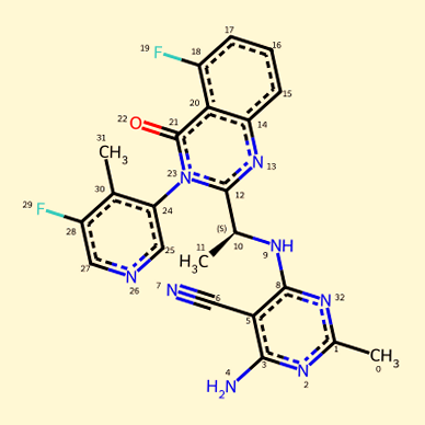 Cc1nc(N)c(C#N)c(N[C@@H](C)c2nc3cccc(F)c3c(=O)n2-c2cncc(F)c2C)n1